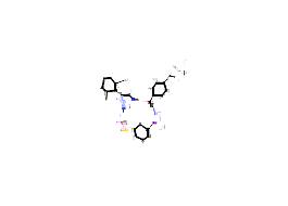 Cc1cccc(C)c1-c1cc2nc(n1)NS(=O)(=O)c1cccc(c1)C(=O)NCC(c1ccc(CC[Si](C)(C)C)cc1)O2